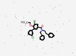 O=C(O)COc1c(Br)cc(C(=O)N(CCc2ccccc2)Cc2ccccc2)cc1-c1cccc(Cl)c1